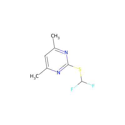 Cc1cc(C)nc(SC(F)F)n1